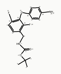 CC(C)(C)OC(=O)NCc1ccc(F)c(Oc2ccc(N)cc2)c1F